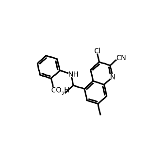 Cc1cc(C(C)Nc2ccccc2C(=O)O)c2cc(Cl)c(C#N)nc2c1